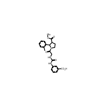 Cc1ccccc1C1C(C(=O)OC(C)(C)C)CCN1C(=O)CNC(=O)Nc1cccc(C(=O)O)c1